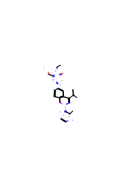 CCN(C=O)/C(CO)=N\N(C)c1cc2c(C(C)C)cn(-c3nccnc3C)c(=O)c2cc1F